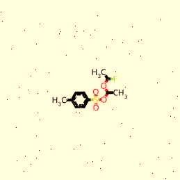 Cc1ccc(S(=O)(=O)OC(C)OC(C)F)cc1